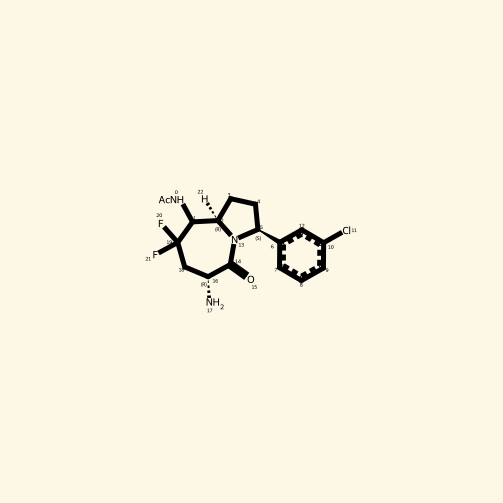 CC(=O)NC1[C@H]2CC[C@@H](c3cccc(Cl)c3)N2C(=O)[C@H](N)CC1(F)F